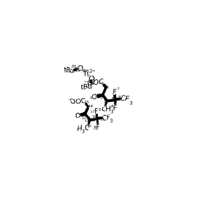 CC(C(=O)CC(=O)[O-])C(F)(F)C(F)(F)F.CC(C(=O)CC(=O)[O-])C(F)(F)C(F)(F)F.CC(C)(C)[O][Ti+2][O]C(C)(C)C